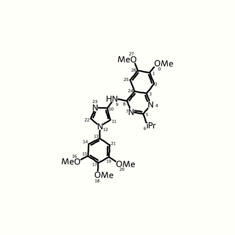 COc1cc2nc(C(C)C)nc(Nc3cn(-c4cc(OC)c(OC)c(OC)c4)cn3)c2cc1OC